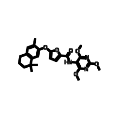 COc1nc(OC)c(NC(=O)c2ccc(Oc3cc4c(cc3C)CCCC4(C)C)o2)c(OC)n1